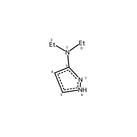 CCN(CC)c1cc[nH]n1